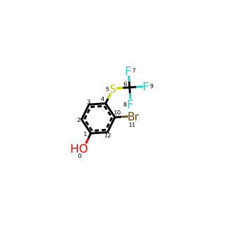 Oc1ccc(SC(F)(F)F)c(Br)c1